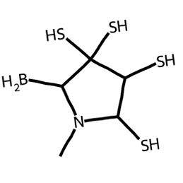 BC1N(C)C(S)C(S)C1(S)S